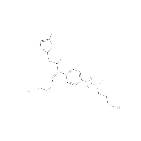 COCCN(C)S(=O)(=O)c1ccc(/C(=N\O[C@H](C)COC)C(=O)Nc2ncc(F)s2)cc1